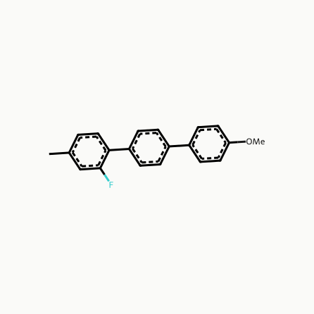 COc1ccc(-c2ccc(-c3ccc(C)cc3F)cc2)cc1